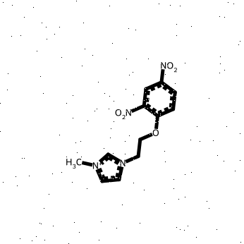 C[n+]1ccn(CCOc2ccc([N+](=O)[O-])cc2[N+](=O)[O-])c1